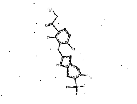 COC(=O)c1ccc(Cl)c(Cc2cc3cc(C)c(C(F)(F)F)cc3[nH]2)c1Cl